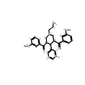 COc1cccc(C(=O)C2CN(CCN)CC(C(=O)c3cccc(OC)c3)C2c2cncnc2)c1